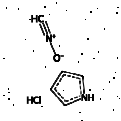 C#[N+][O-].Cl.c1cc[nH]c1